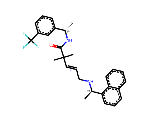 C[C@H](NC(=O)C(C)(C)/C=C/CN[C@H](C)c1cccc2ccccc12)c1cccc(C(F)(F)F)c1